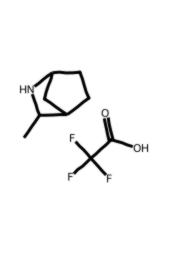 CC1NC2CCC1C2.O=C(O)C(F)(F)F